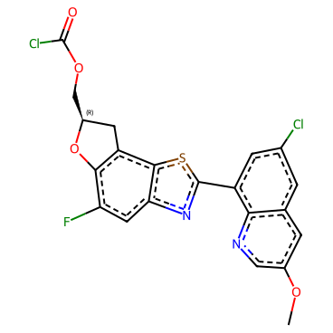 COc1cnc2c(-c3nc4cc(F)c5c(c4s3)C[C@H](COC(=O)Cl)O5)cc(Cl)cc2c1